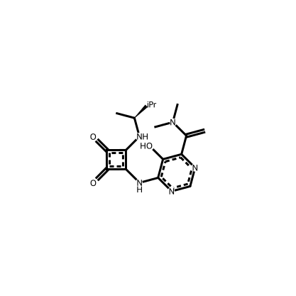 C=C(c1ncnc(Nc2c(N[C@@H](C)C(C)C)c(=O)c2=O)c1O)N(C)C